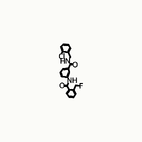 O=C(NCc1ccccc1Cl)c1cccc(NC(=O)c2ccccc2CF)c1